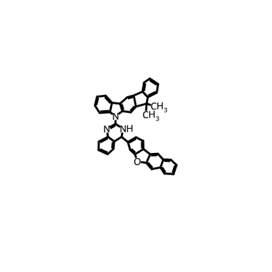 CC1(C)c2ccccc2-c2cc3c4ccccc4n(C4=Nc5ccccc5C(c5ccc6c(c5)oc5cc7ccccc7cc56)N4)c3cc21